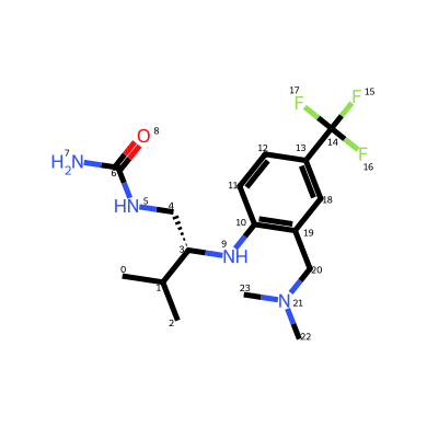 CC(C)[C@H](CNC(N)=O)Nc1ccc(C(F)(F)F)cc1CN(C)C